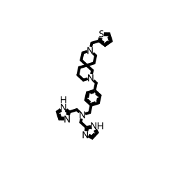 c1csc(CN2CCC3(CCCN(Cc4ccc(CN(Cc5ncc[nH]5)Cc5ncc[nH]5)cc4)C3)CC2)c1